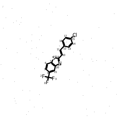 FC(F)(F)c1ccc2sc(/C=C/c3ccc(Cl)cc3)nc2c1